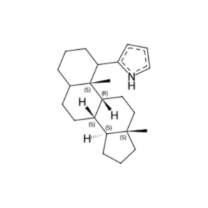 C[C@@]12CCC[C@H]1[C@@H]1CCC3CCCC(c4ccc[nH]4)[C@]3(C)[C@@H]1CC2